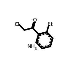 CCc1ccccc1C(=O)CCl.N